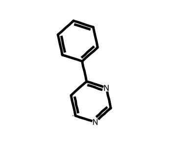 [c]1cc(-c2ccccc2)ncn1